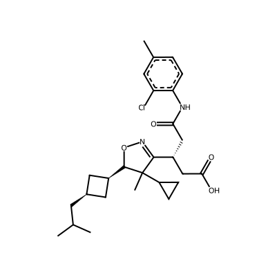 Cc1ccc(NC(=O)C[C@H](CC(=O)O)C2=NOC([C@H]3C[C@@H](CC(C)C)C3)C2(C)C2CC2)c(Cl)c1